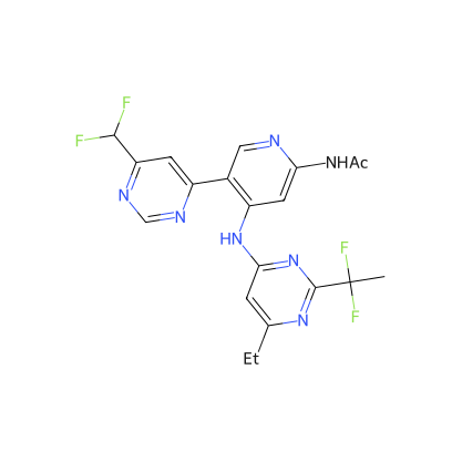 CCc1cc(Nc2cc(NC(C)=O)ncc2-c2cc(C(F)F)ncn2)nc(C(C)(F)F)n1